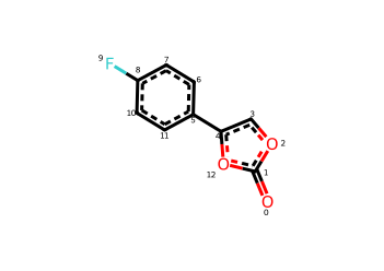 O=c1occ(-c2ccc(F)cc2)o1